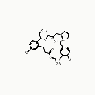 CCOC(=O)CCc1cc(Cl)ccc1C(CC)OC[C@H](O)CN1CCC[C@H]1CC1=CC(F)C(Cl)C=C1